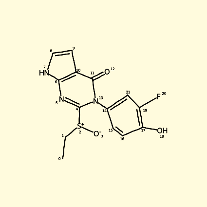 CC[S+]([O-])c1nc2[nH]ccc2c(=O)n1-c1ccc(O)c(F)c1